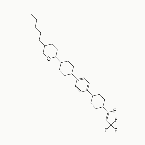 CCCCCC1CCC(C2CCC(c3ccc(C4CCC(/C(F)=C/C(F)(F)F)CC4)cc3)CC2)OC1